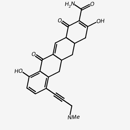 CNCC#Cc1ccc(O)c2c1CC1CC3CC(O)=C(C(N)=O)C(=O)C3C=C1C2=O